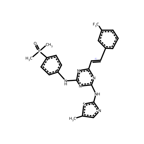 Cc1cnc(Nc2nc(/C=C/c3cccc(C(F)(F)F)c3)nc(Nc3ccc(P(C)(C)=O)cc3)n2)s1